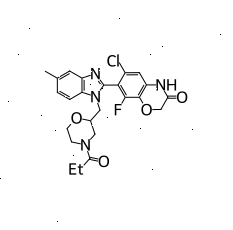 CCC(=O)N1CCOC(Cn2c(-c3c(Cl)cc4c(c3F)OCC(=O)N4)nc3cc(C)ccc32)C1